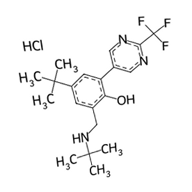 CC(C)(C)NCc1cc(C(C)(C)C)cc(-c2cnc(C(F)(F)F)nc2)c1O.Cl